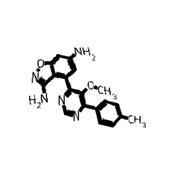 COc1c(-c2ccc(C)cc2)ncnc1-c1cc(N)cc2onc(N)c12